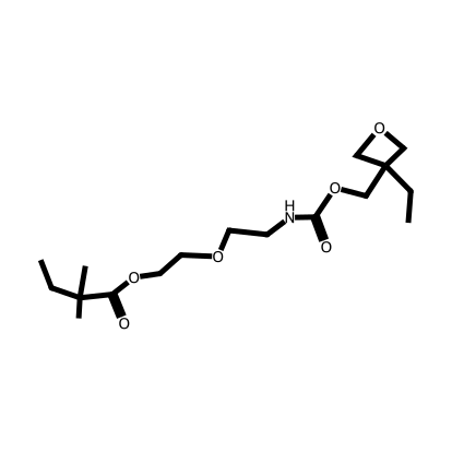 CCC1(COC(=O)NCCOCCOC(=O)C(C)(C)CC)COC1